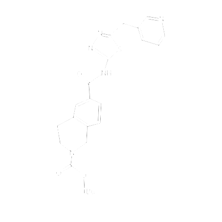 CC(C)(C)OC(=O)N1CCc2cc(C(=O)Nc3nnc(Cc4cccnc4)s3)ccc2C1